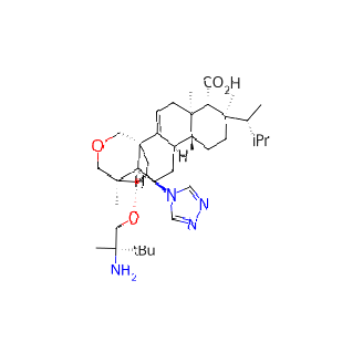 CC(C)[C@@H](C)[C@@]1(C)CC[C@]2(C)[C@H]3CC[C@@H]4[C@@]5(COC[C@]4(C)[C@@H](OC[C@](C)(N)C(C)(C)C)[C@H](n4cnnc4)C5)C3=CC[C@@]2(C)[C@@H]1C(=O)O